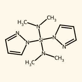 CN(C)[Si](N(C)C)(n1cccn1)n1cccn1